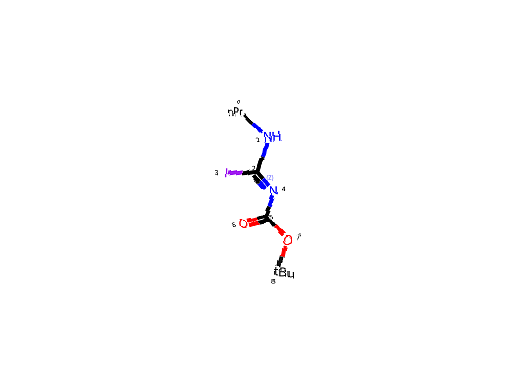 CCCN/C(I)=N/C(=O)OC(C)(C)C